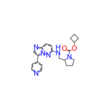 O=C(OC1CCC1)N1CCCC1CNc1ccc2ncc(-c3ccncc3)n2n1